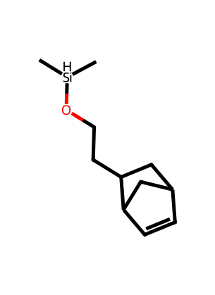 C[SiH](C)OCCC1CC2C=CC1C2